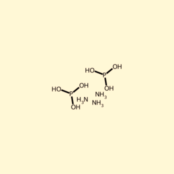 N.N.N.OP(O)O.OP(O)O